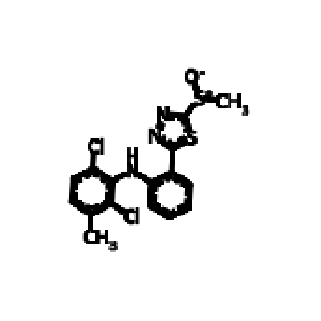 Cc1ccc(Cl)c(Nc2ccccc2-c2nnc([S+](C)[O-])s2)c1Cl